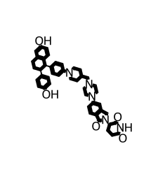 O=C1CCC(N2Cc3cc(N4CCN(CC5CCN(c6ccc([C@@H]7c8ccc(O)cc8CC[C@@H]7c7ccc(O)cc7)cc6)CC5)CC4)ccc3C2=O)C(=O)N1